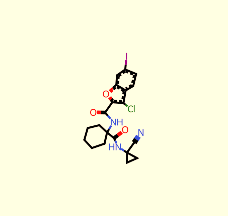 N#CC1(NC(=O)C2(NC(=O)c3oc4cc(I)ccc4c3Cl)CCCCC2)CC1